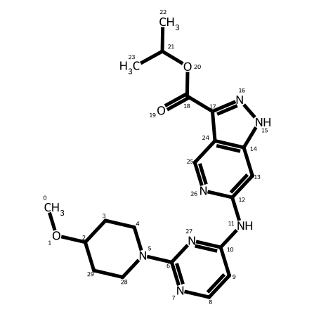 COC1CCN(c2nccc(Nc3cc4[nH]nc(C(=O)OC(C)C)c4cn3)n2)CC1